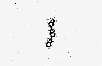 c1ccc2oc(-c3ccc4sc(-c5ccc6[nH]ccc6c5)cc4c3)cc2c1